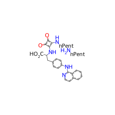 CCCCCN.CCCCCNc1c(NC(Cc2ccc(Nc3nccc4ccccc34)cc2)C(=O)O)c(=O)c1=O